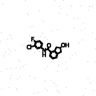 O=C(Nc1ccc(F)c(Cl)c1)c1cccc2c1CC(O)C2